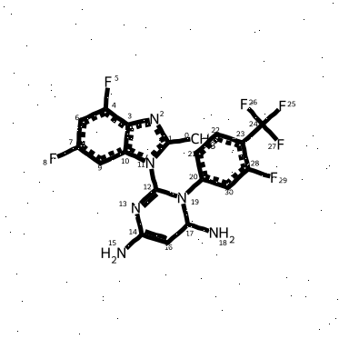 Cc1nc2c(F)cc(F)cc2n1C1=NC(N)=CC(N)N1c1ccc(C(F)(F)F)c(F)c1